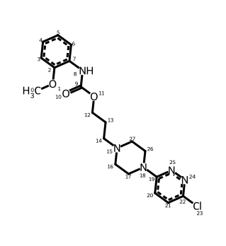 COc1ccccc1NC(=O)OCCCN1CCN(c2ccc(Cl)nn2)CC1